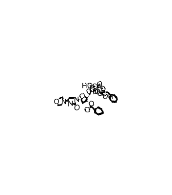 O=C(O[C@@H]1C[C@H](n2ccc(N3CCOCC3)nc2=O)O[C@@H]1COP(=O)(O)OP(=O)(O)OP(=O)(O)Cc1ccccc1)c1ccccc1